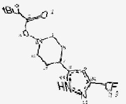 CC(C)(C)C(=O)ON1CCC(c2cc(C(F)(F)F)n[nH]2)CC1